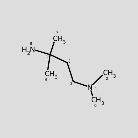 CN(C)C[CH]C(C)(C)N